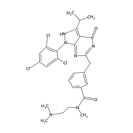 CC(C)c1[nH]n(-c2c(Cl)cc(Cl)cc2Cl)c2nc(Cc3cccc(C(=O)N(C)CCN(C)C)c3)nc(=O)c1-2